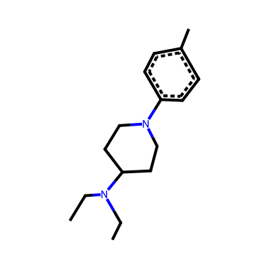 CCN(CC)C1CCN(c2ccc(C)cc2)CC1